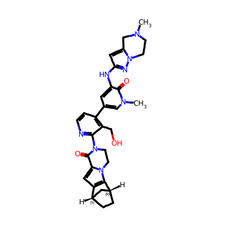 CN1CCn2nc(Nc3cc(-c4ccnc(N5CCn6c(cc7c6[C@@H]6CC[C@H]7C6)C5=O)c4CO)cn(C)c3=O)cc2C1